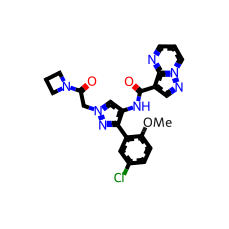 COc1ccc(Cl)cc1-c1nn(CC(=O)N2CCC2)cc1NC(=O)c1cnn2cccnc12